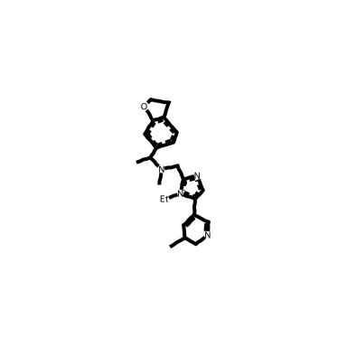 CCn1c(C2=CC(C)CN=C2)cnc1CN(C)C(C)c1ccc2c(c1)OCC2